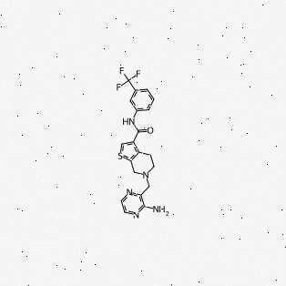 Nc1nccnc1CN1CCc2c(C(=O)Nc3cccc(C(F)(F)F)c3)csc2C1